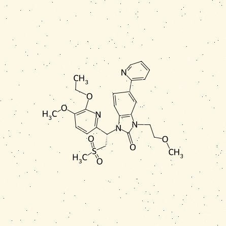 CCOc1nc([C@@H](CS(C)(=O)=O)n2c(=O)n(CCOC)c3cc(-c4ccccn4)ccc32)ccc1OC